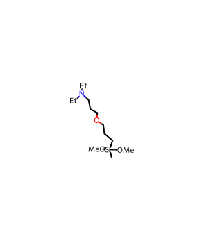 CCN(CC)CCCOCCC[Si](C)(OC)OC